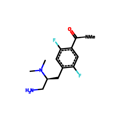 CNC(=O)c1cc(F)c(C[C@@H](CN)N(C)C)cc1F